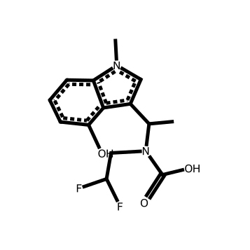 CC(c1cn(C)c2cccc(O)c12)N(CC(F)F)C(=O)O